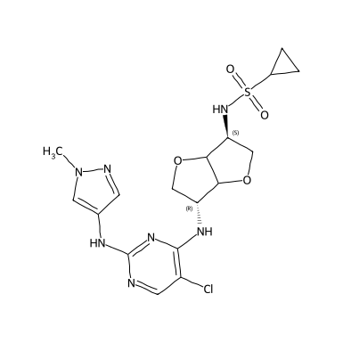 Cn1cc(Nc2ncc(Cl)c(N[C@@H]3COC4C3OC[C@@H]4NS(=O)(=O)C3CC3)n2)cn1